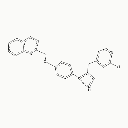 Clc1cc(Cc2c[nH]nc2-c2ccc(OCc3ccc4ccccc4n3)cc2)ccn1